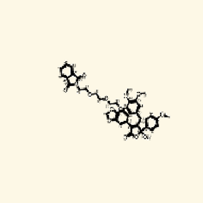 COc1ccc(C2(O)OC(=O)C(c3ccc4c(c3)OCO4)=C2Cc2cc(OC)c(OC)c(OCCOCCOCCN3C(=O)c4ccccc4C3=O)c2)cc1